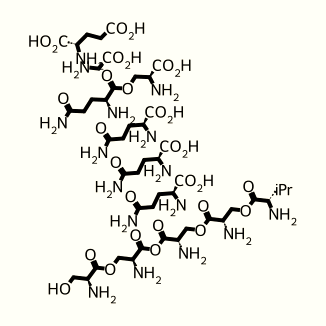 CC(C)[C@H](N)C(=O)OC[C@H](N)C(=O)OC[C@H](N)C(=O)OC(=O)[C@@H](N)COC(=O)[C@@H](N)CO.NC(=O)CC[C@H](N)C(=O)O.NC(=O)CC[C@H](N)C(=O)O.NC(=O)CC[C@H](N)C(=O)O.NC(=O)CC[C@H](N)C(=O)OC[C@H](N)C(=O)O.NCC(=O)O.N[C@@H](CCC(=O)O)C(=O)O